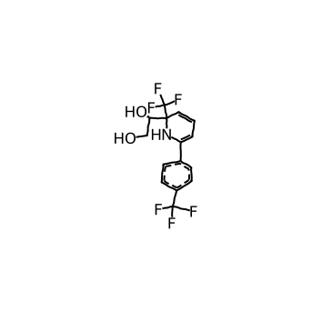 OC[C@@H](O)C1(C(F)(F)F)C=CC=C(c2ccc(C(F)(F)F)cc2)N1